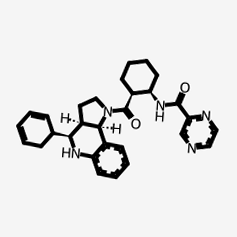 O=C(N[C@@H]1CCCC[C@@H]1C(=O)N1CC[C@@H]2[C@H](C3C=CC=CC3)Nc3ccccc3[C@@H]21)c1cnccn1